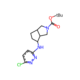 CC(C)(C)OC(=O)N1CC2CCC(Nc3ccc(Cl)nn3)C2C1